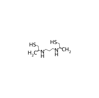 C=C(CS)NCCCNC(=C)CS